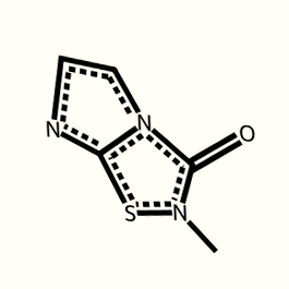 Cn1sc2nccn2c1=O